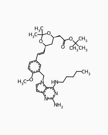 CCCCCNc1nc(N)nc2ccn(Cc3cc(C=C[C@@H]4C[C@H](CC(=O)OC(C)(C)C)OC(C)(C)O4)ccc3OC)c12